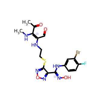 CN/C(C(C)=O)=C(/C=O)NCCSc1nonc1/C(=N/O)Nc1ccc(F)c(Br)c1